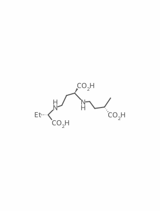 CC[C@H](NCC[C@H](NCC[C@H](C)C(=O)O)C(=O)O)C(=O)O